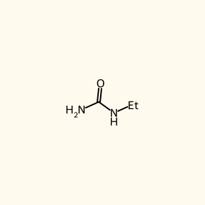 [CH2]CNC(N)=O